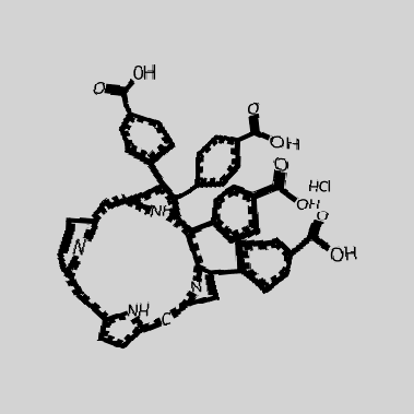 Cl.O=C(O)c1ccc(C2=Cc3cc4ccc(cc5nc(cc6[nH]c(c(-c7ccc(C(=O)O)cc7)c2n3)c(-c2ccc(C(=O)O)cc2)c6-c2ccc(C(=O)O)cc2)C=C5)[nH]4)cc1